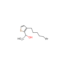 CC(C)CCCCCc1ccsc1C(O)C(=O)O